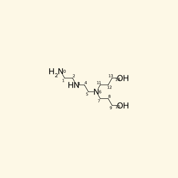 NCCNCCN(CCCO)CCCO